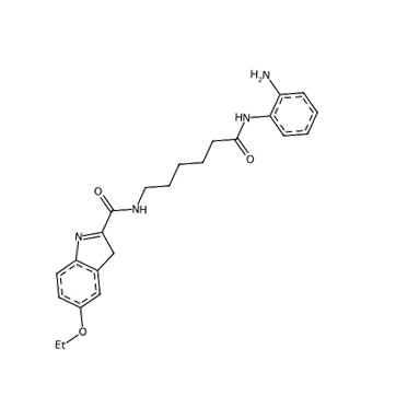 CCOc1ccc2c(c1)CC(C(=O)NCCCCCC(=O)Nc1ccccc1N)=N2